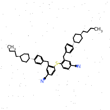 CCCC[C@H]1CC[C@H](c2ccc(Cc3cc(C#N)ccc3Sc3ccc(C#N)cc3Cc3ccc([C@H]4CC[C@H](CCCC)CC4)cc3)cc2)CC1